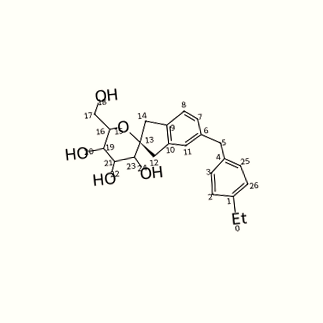 CCc1ccc(Cc2ccc3c(c2)C[C@]2(C3)OC(CO)C(O)C(O)C2O)cc1